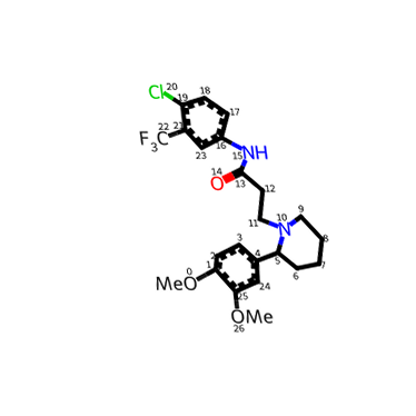 COc1ccc(C2CCCCN2CCC(=O)Nc2ccc(Cl)c(C(F)(F)F)c2)cc1OC